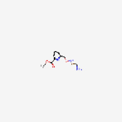 COC(=O)c1cccc(CONSCN)n1